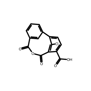 O=C1OC(=O)c2c(C(=O)O)ccc(c2Cl)-c2cccc1c2